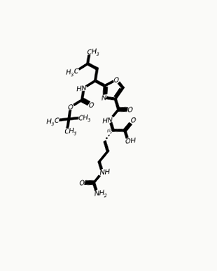 CC(C)CC(NC(=O)OC(C)(C)C)c1nc(C(=O)N[C@@H](CCCNC(N)=O)C(=O)O)co1